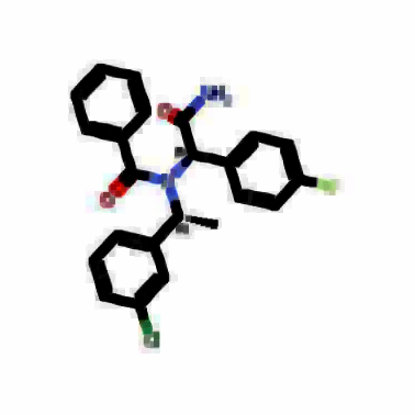 C[C@H](c1cccc(Cl)c1)N(C(=O)c1ccccc1)[C@@H](C(N)=O)c1ccc(F)cc1